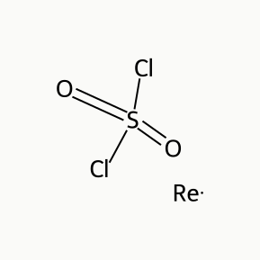 O=S(=O)(Cl)Cl.[Re]